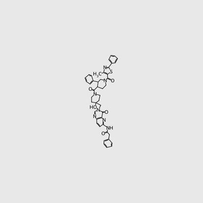 Cc1nc(-c2ccccc2)sc1C(=O)N1CCC(C(=O)N2CCC(O)(Cn3cnc4ccc(NC(=O)Cc5ccccc5)nc4c3=O)CC2)C(c2ccccc2)C1